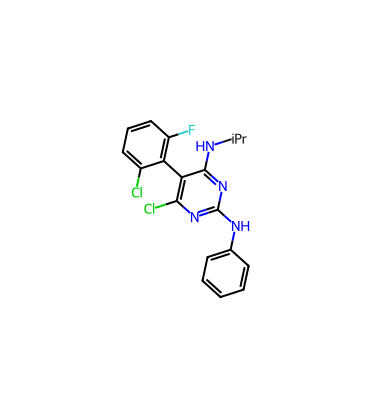 CC(C)Nc1nc(Nc2ccccc2)nc(Cl)c1-c1c(F)cccc1Cl